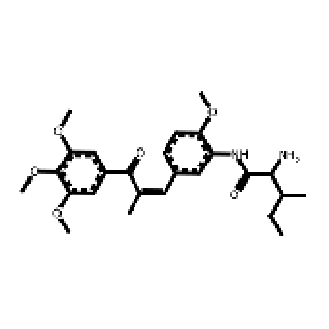 CCC(C)C(N)C(=O)Nc1cc(C=C(C)C(=O)c2cc(OC)c(OC)c(OC)c2)ccc1OC